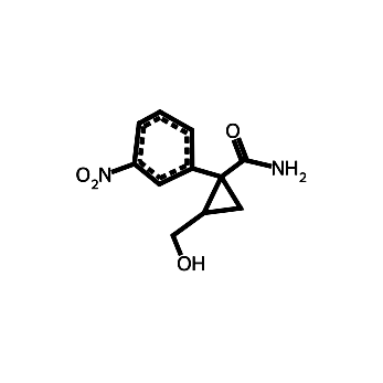 NC(=O)C1(c2cccc([N+](=O)[O-])c2)CC1CO